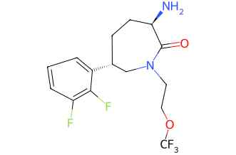 N[C@@H]1CC[C@@H](c2cccc(F)c2F)CN(CCOC(F)(F)F)C1=O